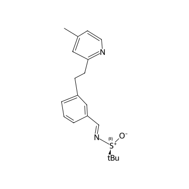 Cc1ccnc(CCc2cccc(C=N[S@@+]([O-])C(C)(C)C)c2)c1